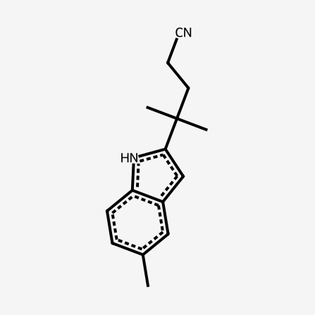 Cc1ccc2[nH]c(C(C)(C)CCC#N)cc2c1